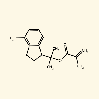 C=C(C)C(=O)OC(C)(C)C1CCc2c1cccc2C(F)(F)F